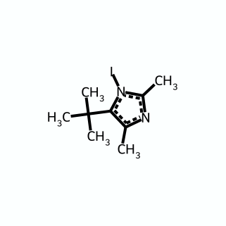 Cc1nc(C)n(I)c1C(C)(C)C